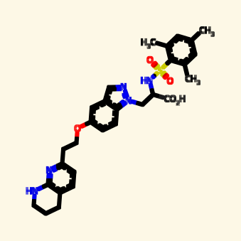 Cc1cc(C)c(S(=O)(=O)NC(Cn2ncc3cc(OCCc4ccc5c(n4)NCCC5)ccc32)C(=O)O)c(C)c1